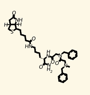 CN(CC(=O)N(CC(=O)N[C@@H](CCCCNC(=O)CCCCC1SC[C@@H]2CC(=O)N[C@H]12)C(N)=O)Cc1ccccc1)Cc1ccccc1